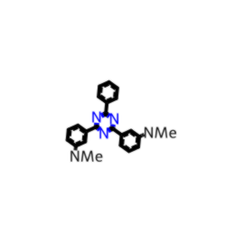 CNc1cccc(-c2nc(-c3ccccc3)nc(-c3cccc(NC)c3)n2)c1